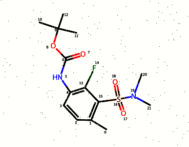 Cc1ccc(NC(=O)OC(C)(C)C)c(F)c1S(=O)(=O)N(C)C